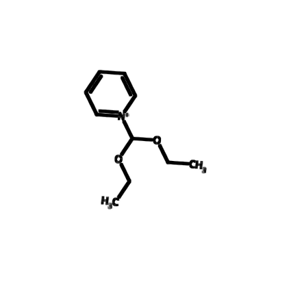 CCOC(OCC)[n+]1ccccc1